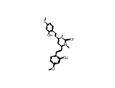 COc1ccc(C=CC2=CC(C=Cc3ccc(OC)cc3O)N(C)C(=O)N2C)c(O)c1